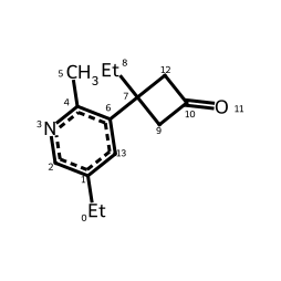 CCc1cnc(C)c(C2(CC)CC(=O)C2)c1